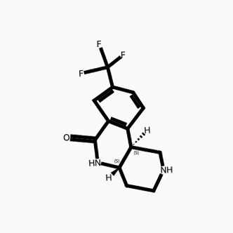 O=C1N[C@H]2CCNC[C@@H]2c2ccc(C(F)(F)F)cc21